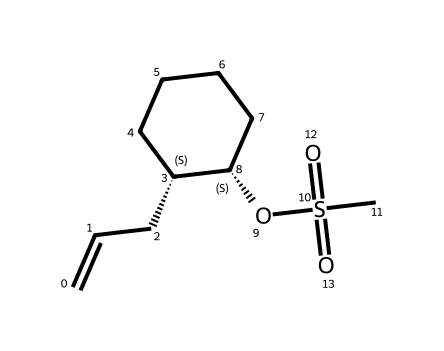 C=CC[C@@H]1CCCC[C@@H]1OS(C)(=O)=O